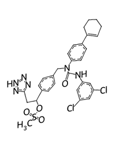 CS(=O)(=O)OC(Cc1nn[nH]n1)c1ccc(CN(C(=O)Nc2cc(Cl)cc(Cl)c2)c2ccc(C3=CCCCC3)cc2)cc1